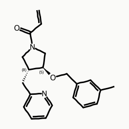 C=CC(=O)N1C[C@@H](Cc2ccccn2)[C@H](OCc2cccc(C)c2)C1